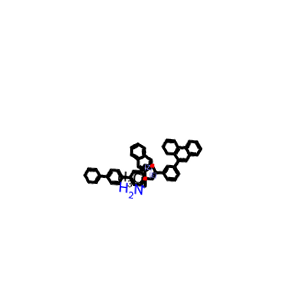 CC(/C=C(\C=C/c1cccc(-c2ccc(C3=CCCC=C3)cc2)c1)c1cccc(-c2cc3ccccc3c3c2CCC=C3)c1)(CN)c1ccc2ccccc2c1